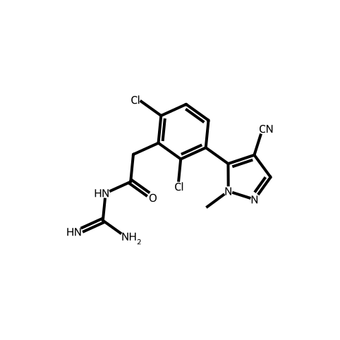 Cn1ncc(C#N)c1-c1ccc(Cl)c(CC(=O)NC(=N)N)c1Cl